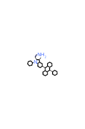 Cc1c(/C=C\N)n(-c2ccccc2)c2ccc(-c3c4ccccc4c(-c4ccccc4)c4ccccc34)cc12